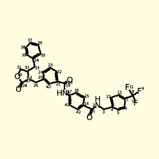 O=C(NCc1ccc(C(F)(F)F)cc1)c1ccc(NC(=O)c2cccc(CN3C(=O)OCC3Cc3ccccc3)c2)cc1